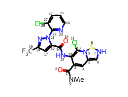 CNC(=O)C1=CC2=CNSN2C(Cl)=C1NC(=O)c1cc(C(F)(F)F)nn1-c1ncccc1Cl